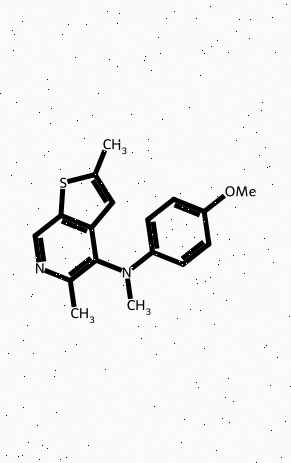 COc1ccc(N(C)c2c(C)ncc3sc(C)cc23)cc1